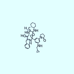 C[C@H](NC[C@H](O)[C@H](Cc1ccccc1)NC(=O)c1cc(NCC2CC2)cc(N2CCCC2=O)c1)C(=O)NC1CCCCC1